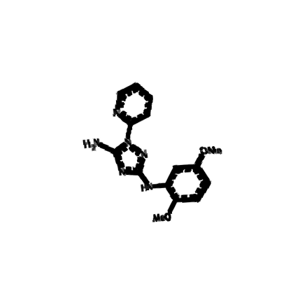 COc1ccc(OC)c(Nc2nc(N)n(-c3ccccn3)n2)c1